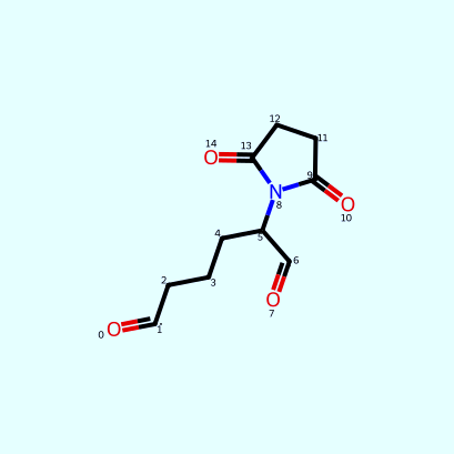 O=[C]CCCC([C]=O)N1C(=O)CCC1=O